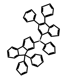 c1ccc(-c2cc(N(c3ccccc3)c3ccc4c(c3)C(c3ccccc3)(c3ccccc3)c3ccccc3-4)c3ccccc3c2-c2ccccc2)cc1